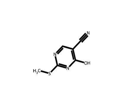 CSc1ncc(C#N)c(O)n1